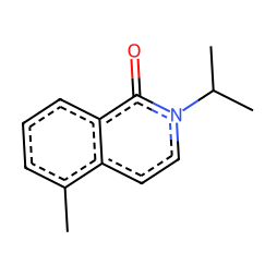 Cc1cccc2c(=O)n(C(C)C)ccc12